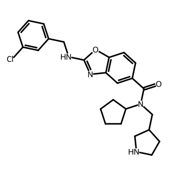 O=C(c1ccc2oc(NCc3cccc(Cl)c3)nc2c1)N(CC1CCNC1)C1CCCC1